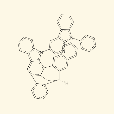 c1ccc(-n2c3ccccc3c3cc(-n4c5ccccc5c5cc6c7c(c54)-c4cc5ccccc5cc4[C@H](CC7)c4ccccc4-6)cnc32)cc1